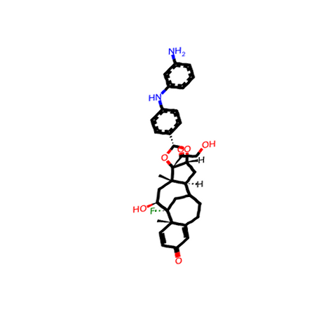 C[C@]12C=CC(=O)C=C1CCC1C[C@]2(F)[C@@H](O)C[C@@]2(C)[C@H]1C[C@H]1O[C@@H](c3ccc(Nc4cccc(N)c4)cc3)O[C@]12C(=O)CO